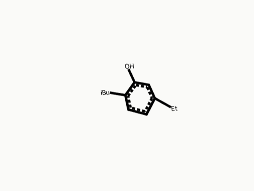 CCc1ccc(C(C)CC)c(O)c1